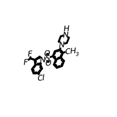 Cc1c(N2CCNCC2)cc(S(=O)(=O)n2cc(C(F)F)c3ccc(Cl)cc32)c2ccccc12